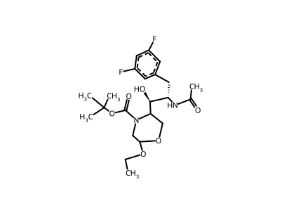 CCOC1CN(C(=O)OC(C)(C)C)C([C@@H](O)[C@H](Cc2cc(F)cc(F)c2)NC(C)=O)CO1